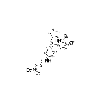 CCN(CC)CCCNc1ccc(/C(=C/C2CCCC2)c2ccc(C(F)(F)F)c(=O)[nH]2)cc1